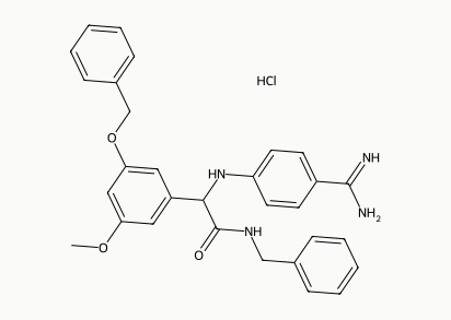 COc1cc(OCc2ccccc2)cc(C(Nc2ccc(C(=N)N)cc2)C(=O)NCc2ccccc2)c1.Cl